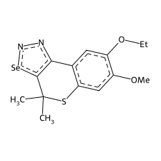 CCOc1cc2c(cc1OC)SC(C)(C)c1[se]nnc1-2